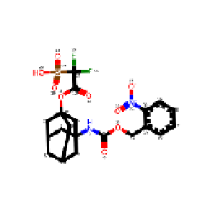 O=C(NC12CC3CC(C1)CC(OC(=O)C(F)(F)S(=O)(=O)O)(C3)C2)OCc1ccccc1[N+](=O)[O-]